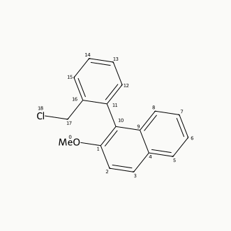 COc1ccc2ccccc2c1-c1ccccc1CCl